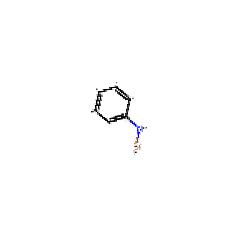 Br[N]c1ccccc1